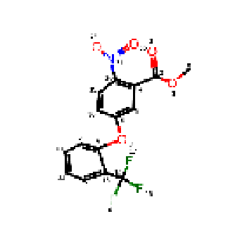 COC(=O)c1cc(Oc2ccccc2C(F)(F)F)ccc1[N+](=O)[O-]